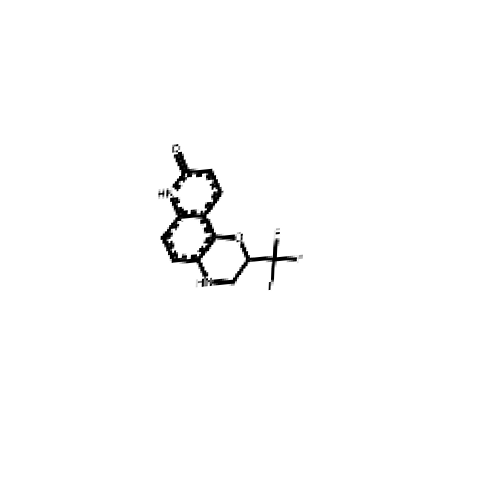 O=c1ccc2c3c(ccc2[nH]1)NCC(C(F)(F)F)O3